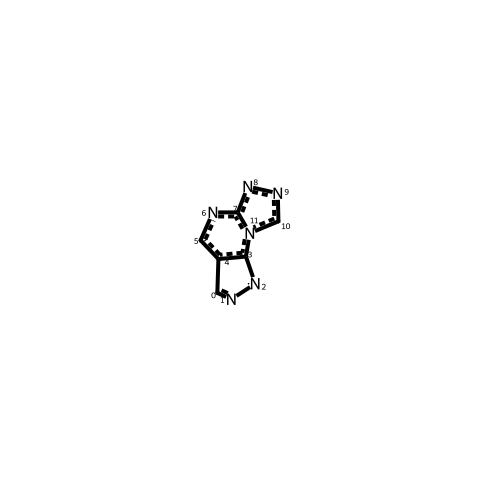 C1=N[N]c2c1cnc1nncn21